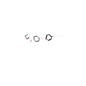 O=C(O)c1ccc(OC[C@H]2CC[C@H](C(=O)[C@@H]3CCCN3)CC2)cc1